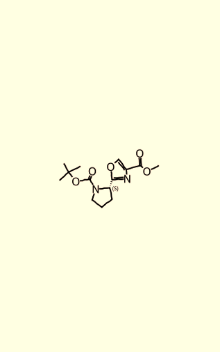 COC(=O)c1coc([C@@H]2CCCN2C(=O)OC(C)(C)C)n1